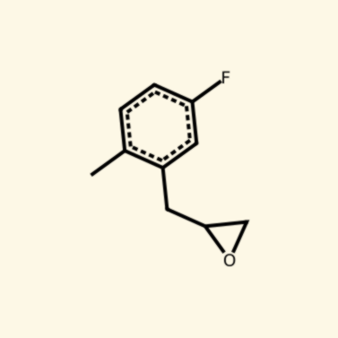 Cc1ccc(F)cc1CC1CO1